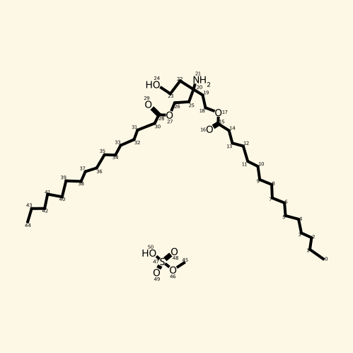 CCCCCCCCCCCCCCCC(=O)OCCC(N)(CCO)CCOC(=O)CCCCCCCCCCCCCCC.COS(=O)(=O)O